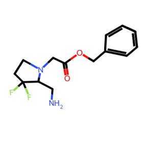 NCC1N(CC(=O)OCc2ccccc2)CCC1(F)F